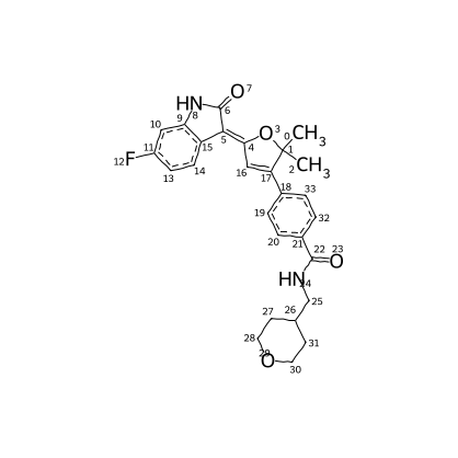 CC1(C)OC(=C2C(=O)Nc3cc(F)ccc32)C=C1c1ccc(C(=O)NCC2CCOCC2)cc1